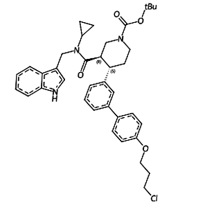 CC(C)(C)OC(=O)N1CC[C@H](c2cccc(-c3ccc(OCCCCl)cc3)c2)[C@@H](C(=O)N(Cc2c[nH]c3ccccc23)C2CC2)C1